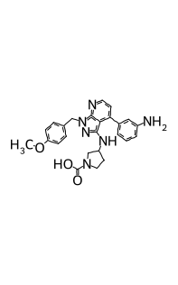 COc1ccc(Cn2nc(NC3CCN(C(=O)O)C3)c3c(-c4cccc(N)c4)ccnc32)cc1